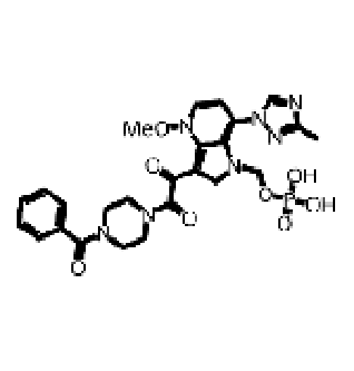 CON1C=CC(n2cnc(C)n2)=C2C1=C(C(=O)C(=O)N1CCN(C(=O)c3ccccc3)CC1)CN2COP(=O)(O)O